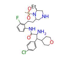 CC[C@H]1CNCC(CCc2c(F)cccc2NC(=O)[C@@H](N)C(c2ccc(Cl)cc2)C2CCOCC2)N1S(C)(=O)=O